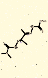 CNC(=S)N/N=C(C)/C(C)=N/NC(=S)N(C)C